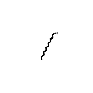 CCCCCCCCCC=CCS